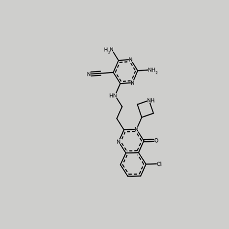 N#Cc1c(N)nc(N)nc1NCCc1nc2cccc(Cl)c2c(=O)n1C1CNC1